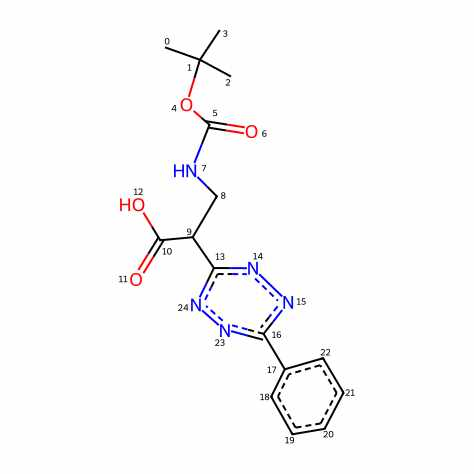 CC(C)(C)OC(=O)NCC(C(=O)O)c1nnc(-c2ccccc2)nn1